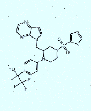 CC(O)(c1ccc(N2CCN(S(=O)(=O)c3cccs3)CC2Cn2ccc3nccnc32)cc1)C(F)(F)F